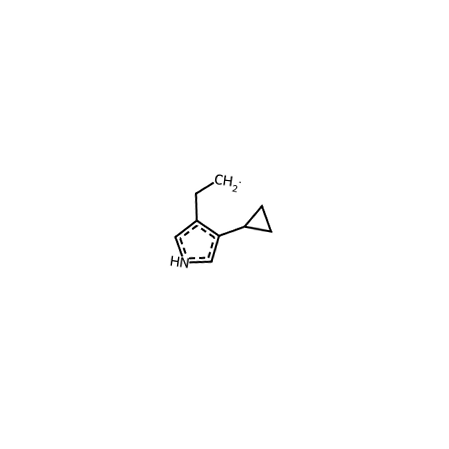 [CH2]Cc1c[nH]cc1C1CC1